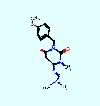 COc1ccc(CN2C(=O)CC(/N=C/N(C)C)N(C)C2=O)cc1